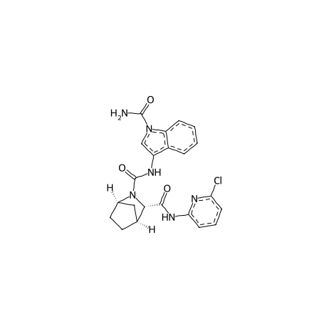 NC(=O)n1cc(NC(=O)N2[C@@H]3CC[C@@H](C3)[C@H]2C(=O)Nc2cccc(Cl)n2)c2ccccc21